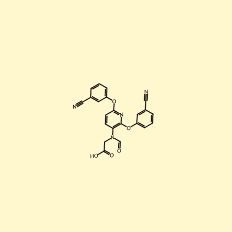 N#Cc1cccc(Oc2ccc(N(C=O)CC(=O)O)c(Oc3cccc(C#N)c3)n2)c1